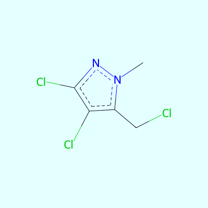 Cn1nc(Cl)c(Cl)c1CCl